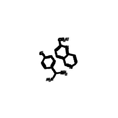 CC(N)c1ccc(Cl)cc1.O=C(O)c1ccc2cnccc2n1